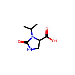 CC(C)N1C(=O)NCC1C(=O)O